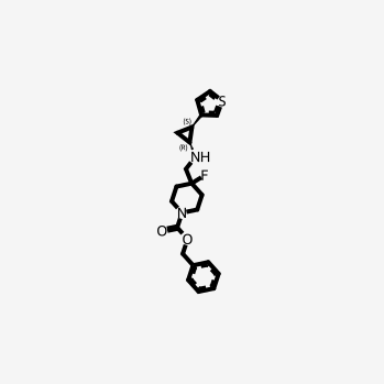 O=C(OCc1ccccc1)N1CCC(F)(CN[C@@H]2C[C@H]2c2ccsc2)CC1